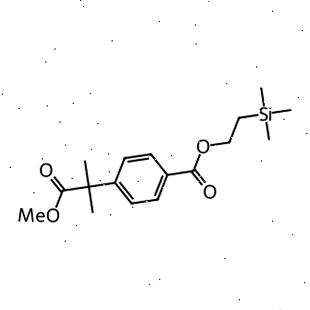 COC(=O)C(C)(C)c1ccc(C(=O)OCC[Si](C)(C)C)cc1